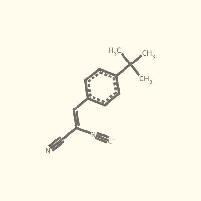 [C-]#[N+]/C(C#N)=C\c1ccc(C(C)(C)C)cc1